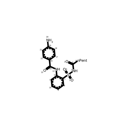 CCCCCC(=O)NS(=O)(=O)c1ccccc1NC(=O)c1ccc(N)cc1